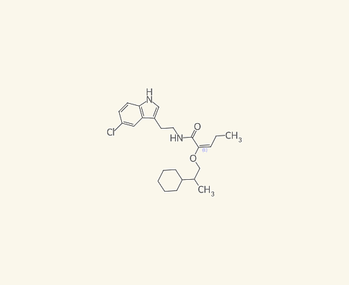 CC/C=C(/OCC(C)C1CCCCC1)C(=O)NCCc1c[nH]c2ccc(Cl)cc12